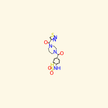 O=C(c1ccc(N[SH](=O)=O)cc1)N1CCCN(C(=O)c2csnn2)CC1